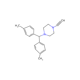 C#CN1CCN(C(c2ccc(C)cc2)c2ccc(C)cc2)CC1